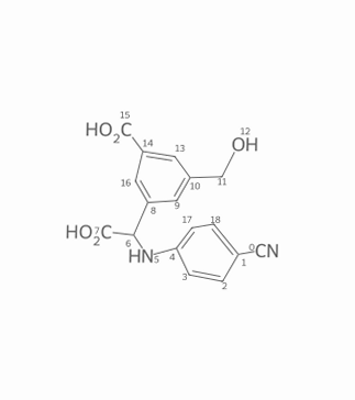 N#Cc1ccc(NC(C(=O)O)c2cc(CO)cc(C(=O)O)c2)cc1